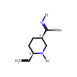 C=C[C@H]1CC[C@@H](/C(=N/CC)NC)CN1C(C)=O